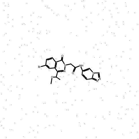 COC(C)c1nn(CC(=O)Nc2ccc3nncn3c2)c(=O)c2ccc(Br)cc12